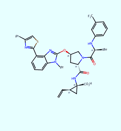 C=C[C@@H]1C[C@]1(NC(=O)[C@@H]1C[C@@H](Oc2nc3c(-c4nc(C(C)C)cs4)cccc3n2C(C)C)CN1C(=O)[C@@H](Nc1cccc(C(F)(F)F)c1)C(C)(C)C)C(=O)O